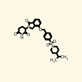 CC(C)C1CCN(S(=O)(=O)c2ccc(COc3cccc4c3CN(C3CCC(=O)NC3=O)C4=O)cc2)CC1